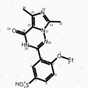 CCOc1ccc(S(=O)(=O)O)cc1-c1nn2c(C)nc(C)c2c(=O)[nH]1